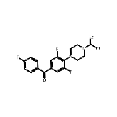 CCC(CC)N1CCN(c2c(F)cc(C(=O)c3ccc(F)cc3)cc2F)CC1